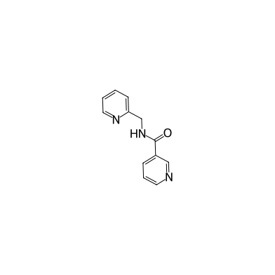 O=C(NCc1ccccn1)c1cccnc1